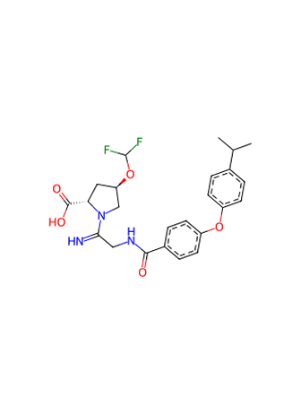 CC(C)c1ccc(Oc2ccc(C(=O)NCC(=N)N3C[C@H](OC(F)F)C[C@H]3C(=O)O)cc2)cc1